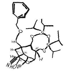 CC(C)[Si]1(C(C)C)OC2[C@H](O[Si](C(C)C)(C(C)C)O1)C1O[C@@H](O)CC2(NOCc2ccccc2)[C@H](C#N)C1Br